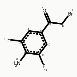 Nc1c(F)cc(C(=O)CBr)cc1F